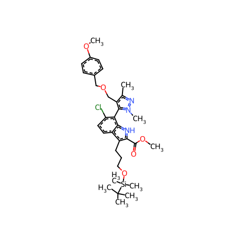 COC(=O)c1[nH]c2c(-c3c(COCc4ccc(OC)cc4)c(C)nn3C)c(Cl)ccc2c1CCCO[Si](C)(C)C(C)(C)C